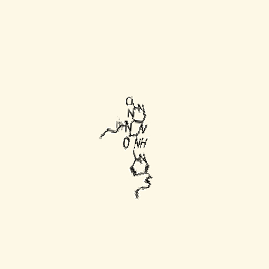 CCC[C@H](C)n1c(=O)c(NCc2ccc(SCC)cn2)nc2cnc(Cl)nc21